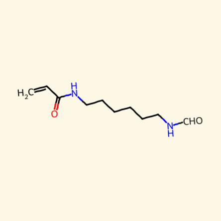 C=CC(=O)NCCCCCCNC=O